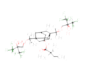 CCC(C)(C)C(=O)OC12CC3CC(C(C)(C)OCC(O)(C(F)(F)F)C(F)(F)F)(C1)CC(C(C)(C)OCC(O)(C(F)(F)F)C(F)(F)F)(C3)C2